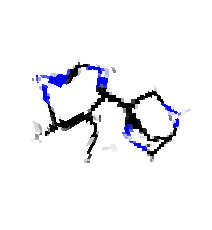 Cc1ncnc(C23CNC(CN2)C3)c1C